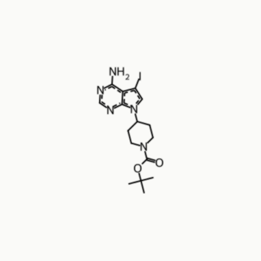 CC(C)(C)OC(=O)N1CCC(n2cc(I)c3c(N)ncnc32)CC1